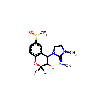 CN1CCN(C2c3cc([S+]([O-])C(F)(F)F)ccc3OC(C)(C)C2O)C1=NC#N